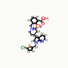 COc1c(CN2CCC(c3cn(Cc4ccc(Cl)s4)c4ncccc34)CC2)cccc1C(=O)O